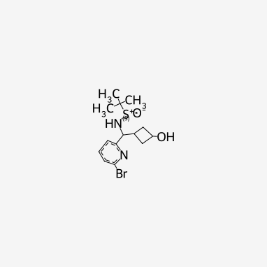 CC(C)(C)[S@@+]([O-])NC(c1cccc(Br)n1)C1CC(O)C1